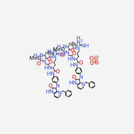 CCCC[C@H](N)C(=O)N(CC(=O)N[C@@H](CCCNC(=N)N)C(=O)Nc1ccc(N=C2C(=O)Nc3ccc[n+](Cc4ccccc4)c32)cc1)C(=O)OC.CCCC[C@H](N)C(=O)N(CC(=O)N[C@@H](CCCNC(=N)N)C(=O)Nc1ccc(N=C2C(=O)Nc3ccc[n+](Cc4ccccc4)c32)cc1)C(=O)OC.O=S(=O)([O-])[O-]